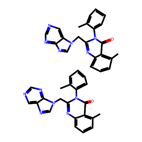 Cc1ccccc1-n1c(Cn2cnc3cncnc32)nc2cccc(C)c2c1=O.Cc1ccccc1-n1c(Cn2cnc3ncncc32)nc2cccc(C)c2c1=O